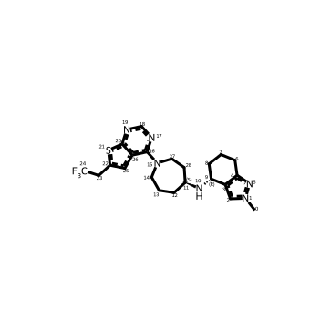 Cn1cc2c(n1)CCC[C@H]2N[C@H]1CCCN(c2ncnc3sc(CC(F)(F)F)cc23)CC1